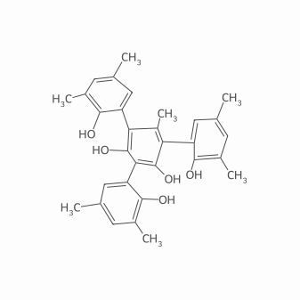 Cc1cc(C)c(O)c(-c2c(C)c(-c3cc(C)cc(C)c3O)c(O)c(-c3cc(C)cc(C)c3O)c2O)c1